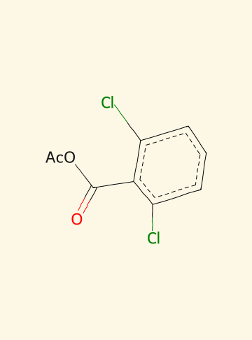 CC(=O)OC(=O)c1c(Cl)cccc1Cl